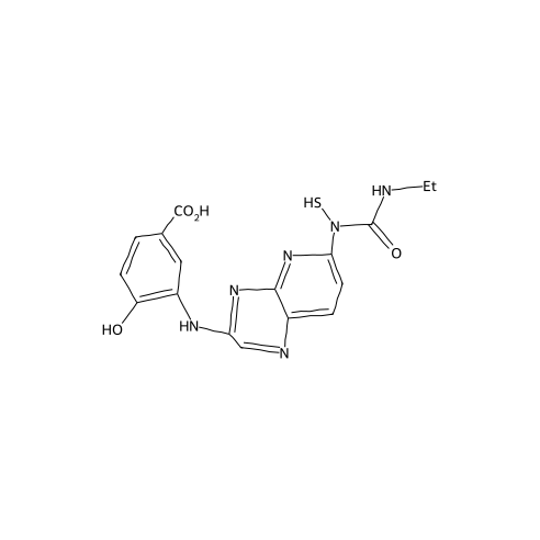 CCNC(=O)N(S)c1ccc2ncc(Nc3cc(C(=O)O)ccc3O)nc2n1